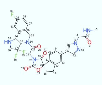 CNC(=O)Cn1cc(-c2ccc3c(c2)CC[C@@]32OC(=O)N(CC(=O)N(Cc3ccc(F)cc3)C3CNCC3(F)F)C2=O)cn1